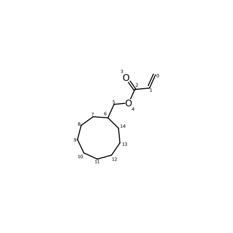 C=CC(=O)OCC1CCCCCCCC1